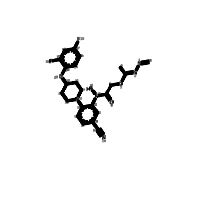 C=N/N=C(\C)OCC(=O)N(S)c1cc(C#N)ccc1N1CCC(Oc2ccc(F)cc2F)CC1